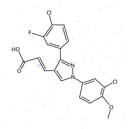 COc1ccc(-n2cc(/C=C/C(=O)O)c(-c3ccc(Cl)c(F)c3)n2)cc1Cl